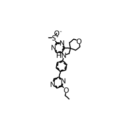 CCOc1cncc(-c2ccc(NCC3(c4ccnc([S+](C)[O-])n4)CCOCC3)cc2)n1